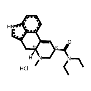 CCN(CC)C(=O)[C@@H]1C=C2c3cccc4[nH]cc(c34)C[C@H]2N(C)C1.Cl